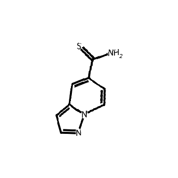 NC(=S)c1ccn2nccc2c1